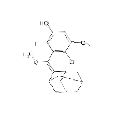 COC(=C1C2CC3CC(C2)CC1C3)c1c(Cl)c(C)cc(O)c1I